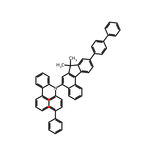 CC1(C)c2cc(-c3ccc(-c4ccccc4)cc3)ccc2-c2c1cc(N(c1ccc(-c3ccccc3)cc1)c1ccccc1-c1ccccc1)c1ccccc21